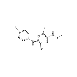 CONc1cc(Br)c(Nc2ccc(F)cc2)nc1C